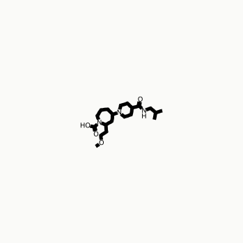 COCCC1CC(N2CCC(C(=O)NCC(C)C)CC2)CCCN1C(=O)O